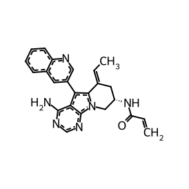 C=CC(=O)N[C@H]1C/C(=C\C)c2c(-c3cnc4ccccc4c3)c3c(N)ncnc3n2C1